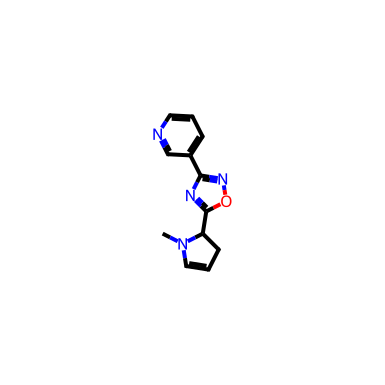 CN1C=CCC1c1nc(-c2cccnc2)no1